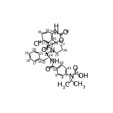 CC(C)N(C(=O)O)c1ccc(C(=O)N[C@@H](Cc2ccccc2)C(=O)N2CCC[C@@]3(C2)OC(=O)Nc2ccc(Cl)c(F)c23)cc1